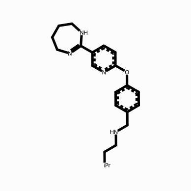 CC(C)CCNCc1ccc(Oc2ccc(C3=NCCCCN3)cn2)cc1